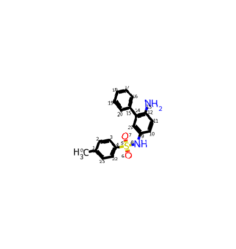 Cc1ccc(S(=O)(=O)Nc2ccc(N)c(-c3ccccc3)c2)cc1